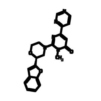 Cn1c(N2CCO[C@H](c3cc4ccccc4o3)C2)nc(-c2ccncn2)cc1=O